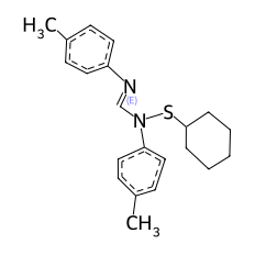 Cc1ccc(/N=C/N(SC2CCCCC2)c2ccc(C)cc2)cc1